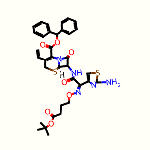 C=CC1=C(C(=O)OC(c2ccccc2)c2ccccc2)N2C(=O)C(NC(=O)/C(=N\OCCCC(=O)OC(C)(C)C)c3csc(N)n3)[C@H]2SC1